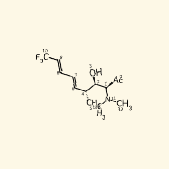 CC(=O)[C@H]([C@H](O)[C@H](C)/C=C/C=C/C(F)(F)F)N(C)C